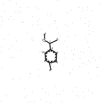 [CH2]C(SC)c1ccc(C)cc1